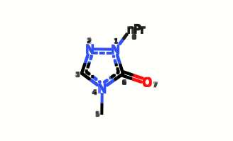 CCCn1ncn(C)c1=O